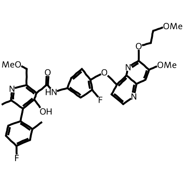 COCCOc1nc2c(Oc3ccc(NC(=O)c4c(COC)nc(C)c(-c5ccc(F)cc5C)c4O)cc3F)ccnc2cc1OC